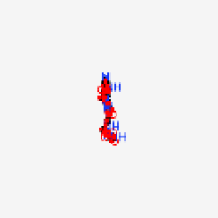 CCc1cc2c(cc1N1CCC(N3CCN(C(=O)CCCCCNc4cccc5c4CN(C4CCC(=O)NC4=O)C5=O)CC3)CC1)C(C)(C)c1[nH]c3cc(C#N)ccc3c1C2=O